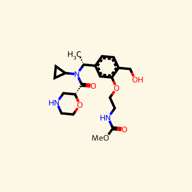 COC(=O)NCCOc1cc([C@@H](C)N(C(=O)[C@H]2CNCCO2)C2CC2)ccc1CO